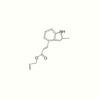 C=CCOC(=O)C=Cc1cccc2[nH]c(C)cc12